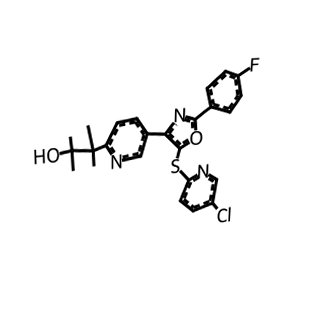 CC(C)(O)C(C)(C)c1ccc(-c2nc(-c3ccc(F)cc3)oc2Sc2ccc(Cl)cn2)cn1